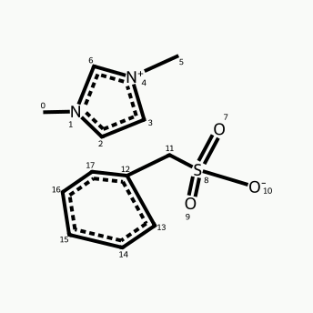 Cn1cc[n+](C)c1.O=S(=O)([O-])Cc1ccccc1